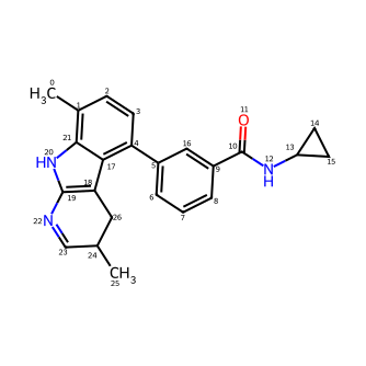 Cc1ccc(-c2cccc(C(=O)NC3CC3)c2)c2c3c([nH]c12)N=CC(C)C3